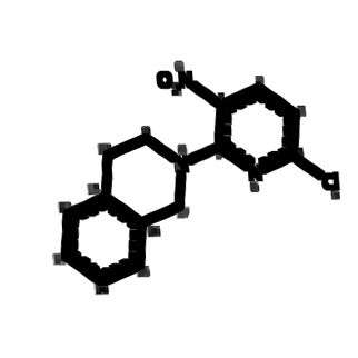 O=[N+]([O-])c1ccc(Cl)nc1N1CCc2ccccc2C1